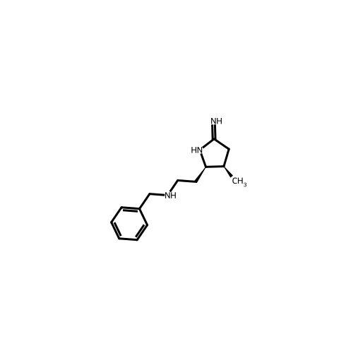 C[C@@H]1CC(=N)N[C@@H]1CCNCc1ccccc1